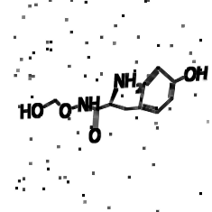 N[C@@H](Cc1ccc(O)cc1)C(=O)NOCO